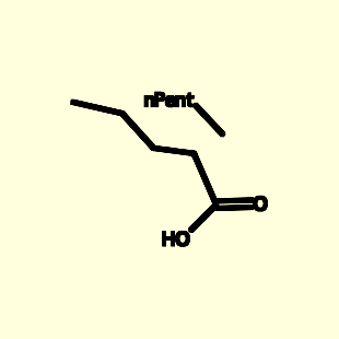 CCCCC(=O)O.CCCCCC